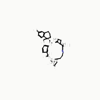 C[C@@H](O)C[C@@H]1CC/C=C/[C@H](O)[C@@H]2CC[C@H]2CN2C[C@@]3(CCCc4cc(Cl)ccc43)COc3ccc(cc32)C(=O)NS1(=O)=O